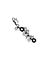 CCCCOC(=O)c1ccc(NC(=O)NC(=S)NC(=O)c2ccccc2)cc1